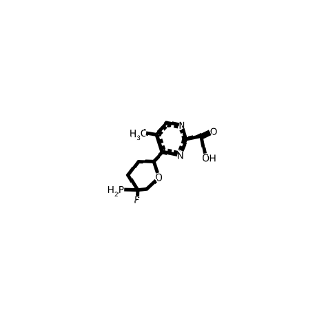 Cc1cnc(C(=O)O)nc1C1CCC(F)(P)CO1